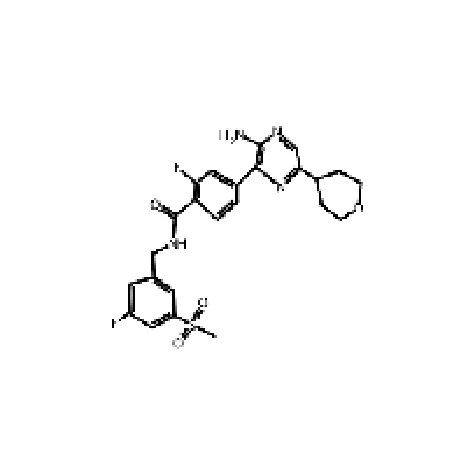 CS(=O)(=O)c1cc(F)cc(CNC(=O)c2ccc(-c3nc(C4CCOCC4)cnc3N)cc2F)c1